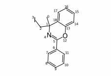 CC1(CI)N=C(c2ccccc2)Oc2ccccc21